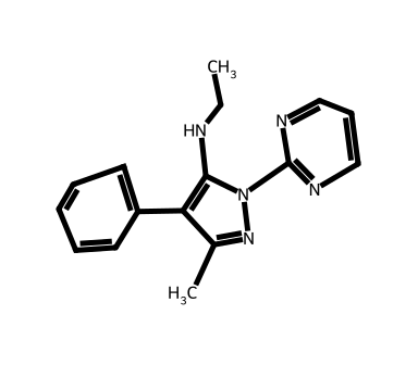 CCNc1c(-c2ccccc2)c(C)nn1-c1ncccn1